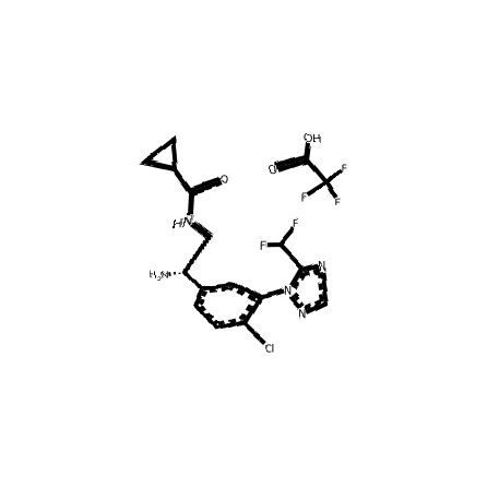 N[C@H](CNC(=O)C1CC1)c1ccc(Cl)c(-n2ncnc2C(F)F)c1.O=C(O)C(F)(F)F